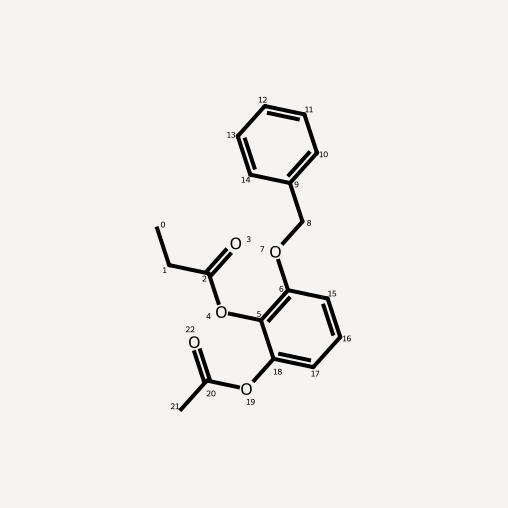 CCC(=O)Oc1c(OCc2ccccc2)cccc1OC(C)=O